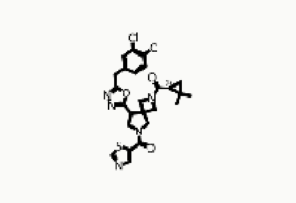 CC1(C)C[C@@H]1C(=O)N1CC2(CN(C(=O)c3cncs3)CC2c2nnc(Cc3ccc(Cl)c(Cl)c3)o2)C1